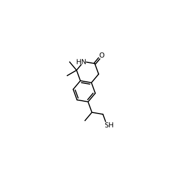 CC(CS)c1ccc2c(c1)CC(=O)NC2(C)C